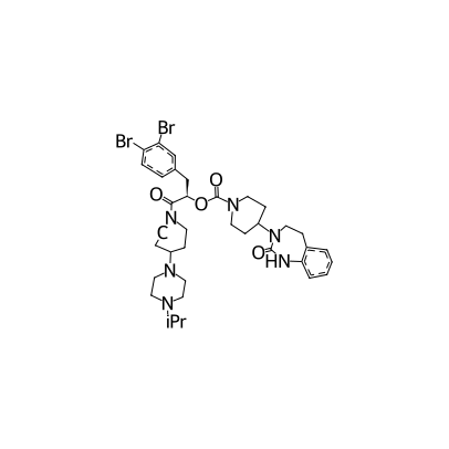 CC(C)N1CCN(C2CCN(C(=O)[C@@H](Cc3ccc(Br)c(Br)c3)OC(=O)N3CCC(N4CCc5ccccc5NC4=O)CC3)CC2)CC1